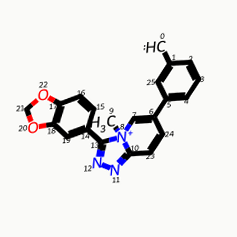 [CH]c1cccc(C2=C[N+]3(C)C(=NN=C3c3ccc4c(c3)OCO4)C=C2)c1